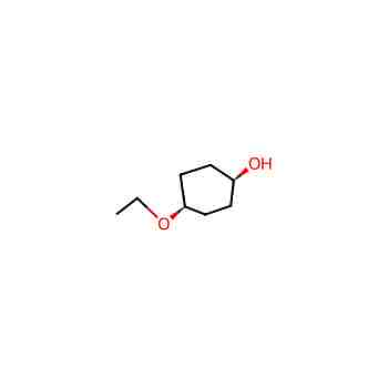 CCO[C@H]1CC[C@@H](O)CC1